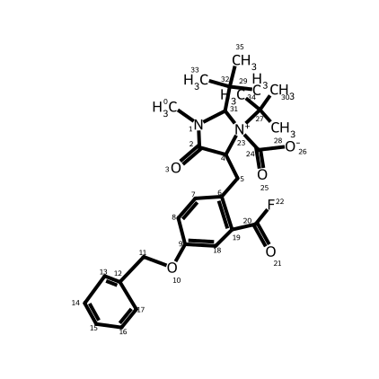 CN1C(=O)C(Cc2ccc(OCc3ccccc3)cc2C(=O)F)[N+](C(=O)[O-])(C(C)(C)C)C1C(C)(C)C